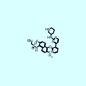 Cc1ccc2c(NS(=O)(=O)CC(C)(C)C)c(F)ccc2c1Oc1ncccc1-c1ccnc(NC2CCCNC2)n1